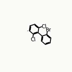 Clc1[c]ccc(Cl)c1-c1ccccc1Br